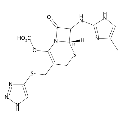 Cc1c[nH]c(NC2C(=O)N3C(OC(=O)O)=C(CSc4c[nH]nn4)CS[C@@H]23)n1